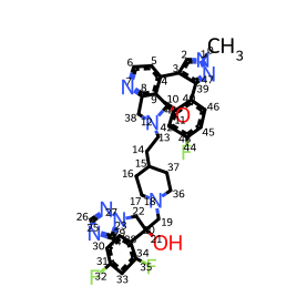 Cn1cc(-c2ccnc3c2C(=O)N(CCC2CCN(CC(O)(Cn4cncn4)c4ccc(F)cc4F)CC2)C3)c(-c2ccc(F)cc2)n1